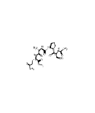 CC(=O)N[C@@H](CO)C(=O)N1CCC[C@H]1C(=O)N[C@@H](C)C(=O)N[C@@H](CCC(N)=O)C(N)=O